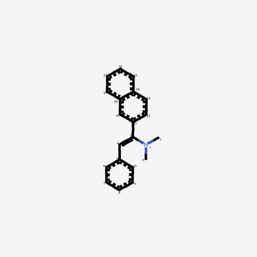 CN(C)C(=Cc1ccccc1)c1ccc2ccccc2c1